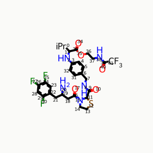 CC(C)C(Nc1ccc(CNC(=O)C2SCCN2C(=O)CC(N)Cc2cc(F)c(F)cc2F)cc1)C(=O)OCCNC(=O)C(F)(F)F